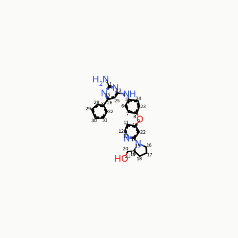 Nc1nc(Nc2ccc(Oc3ccnc(N4CCC[C@H]4CO)c3)cc2)cc(-c2ccccc2)n1